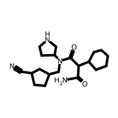 N#CC1CCC(CN(C(=O)C(C(N)=O)C2CCCCC2)C2CCNC2)C1